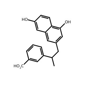 CC(Cc1cc(O)c2ccc(O)cc2c1)c1cccc(C(=O)O)c1